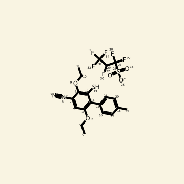 CCOc1cc([N+]#N)c(OCC)c(S)c1-c1ccc(C)cc1.O=S(=O)([O-])C(F)(F)C(F)C(F)(F)F